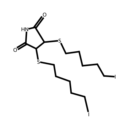 O=C1NC(=O)C(SCCCCCI)C1SCCCCCI